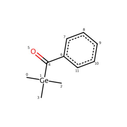 [CH3][Ge]([CH3])([CH3])[C](=O)c1ccccc1